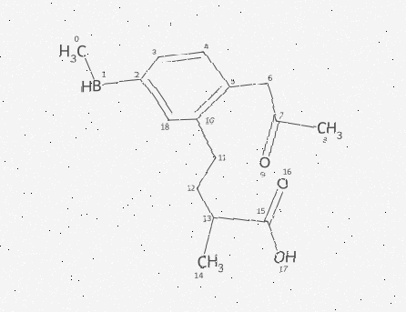 CBc1ccc(CC(C)=O)c(CCC(C)C(=O)O)c1